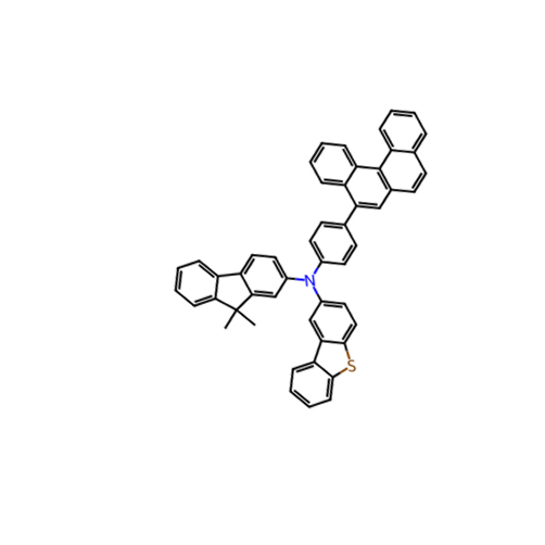 CC1(C)c2ccccc2-c2ccc(N(c3ccc(-c4cc5ccc6ccccc6c5c5ccccc45)cc3)c3ccc4sc5ccccc5c4c3)cc21